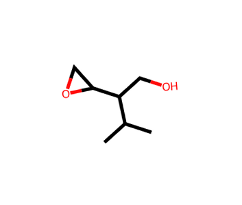 CC(C)C(CO)C1CO1